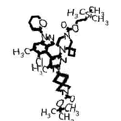 Cc1cc2c(cnn2C2CCCCO2)c(-c2c(N3CCN(C(=O)OCC[Si](C)(C)C)CC34CCC4)nn(C3CC4(C3)CN(C(=O)OC(C)(C)C)C4)c2C)c1Cl